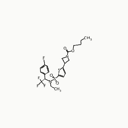 CCCCOC(=O)N1CC(c2ccc(S(=O)(=O)N(CC)C(c3ccc(F)cc3)C(F)(F)F)s2)C1